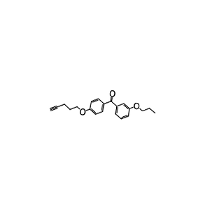 C#CCCCOc1ccc(C(=O)c2cccc(OCCC)c2)cc1